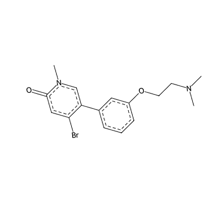 CN(C)CCOc1cccc(-c2cn(C)c(=O)cc2Br)c1